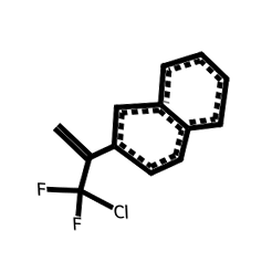 C=C(c1ccc2ccccc2c1)C(F)(F)Cl